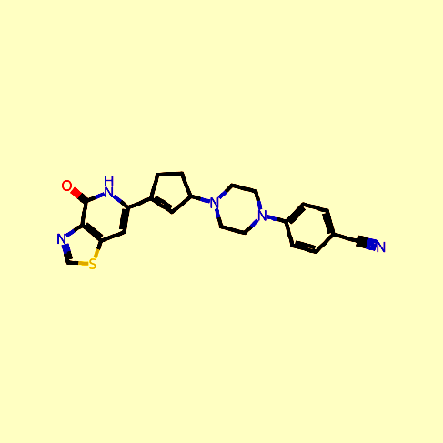 N#Cc1ccc(N2CCN(C3C=C(c4cc5scnc5c(=O)[nH]4)CC3)CC2)cc1